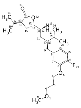 COCCCOc1cc(C[C@@H](C[C@H](N)[C@@H]2C[C@@H](C(C)C)C(=O)O2)C(C)C)ccc1F